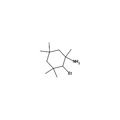 CCC1C(C)(C)CC(C)(C)CC1(C)N